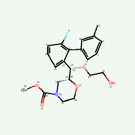 Cc1cccc(-c2c(F)cccc2[C@H](OCCO)[C@H]2CN(C(=O)OC(C)(C)C)CCO2)c1